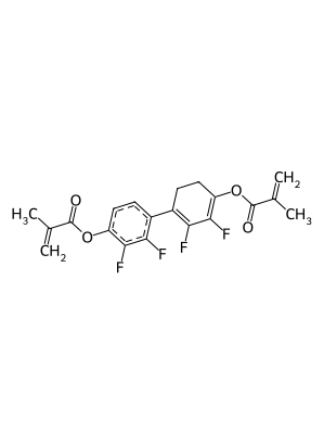 C=C(C)C(=O)OC1=C(F)C(F)=C(c2ccc(OC(=O)C(=C)C)c(F)c2F)CC1